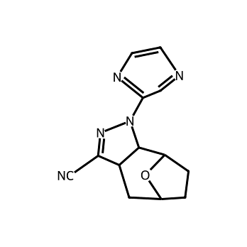 N#CC1=NN(c2cnccn2)C2C3CCC(CC12)O3